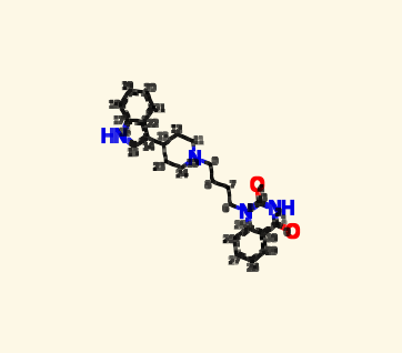 O=c1[nH]c(=O)n(CCCCN2CCC(c3c[nH]c4ccccc34)CC2)c2ccccc12